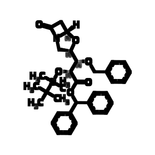 CC(C)(C)[Si](C)(C)O[C@@H](C(=O)OC(c1ccccc1)c1ccccc1)[C@@H](OCc1ccccc1)[C@H]1CN2C(=O)C[C@@H]2O1